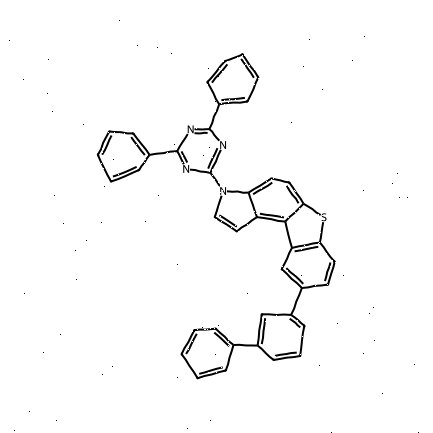 c1ccc(-c2cccc(-c3ccc4sc5ccc6c(ccn6-c6nc(-c7ccccc7)nc(-c7ccccc7)n6)c5c4c3)c2)cc1